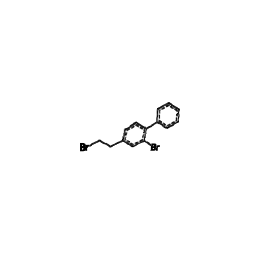 BrCCc1ccc(-c2ccccc2)c(Br)c1